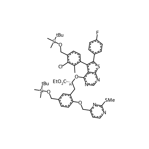 CCOC(=O)[C@@H](Cc1cc(CO[Si](C)(C)C(C)(C)C)ccc1OCc1ccnc(SC)n1)Oc1ncnc2sc(-c3ccc(F)cc3)c(-c3ccc(CO[Si](C)(C)C(C)(C)C)c(Cl)c3C)c12